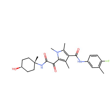 Cc1cc(NC(=O)c2c(C)c(C(=O)C(=O)N[C@]3(C)CC[C@@H](O)CC3)n(C)c2C)ccc1F